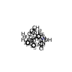 C[C@@H]1CN(c2c(CO[Si](c3ccccc3)(c3ccccc3)C(C)(C)C)cc(/C(=N/O)c3cnc(Cl)cn3)c(F)c2F)C[C@H](C)O1